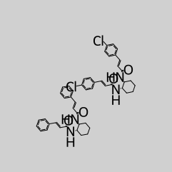 O=C(/C=C/c1ccc(Cl)cc1)N[C@H]1CCCC[C@@H]1NC(=O)/C=C/c1ccc(Cl)cc1.O=C(/C=C/c1ccccc1)N[C@H]1CCCC[C@@H]1NC(=O)/C=C/c1ccccc1